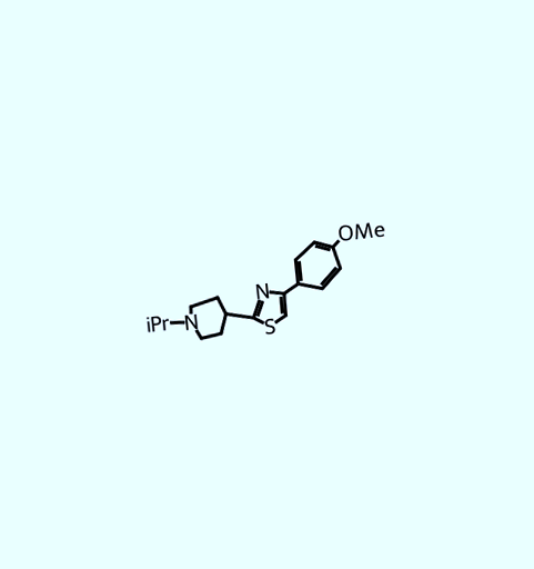 COc1ccc(-c2csc(C3CCN(C(C)C)CC3)n2)cc1